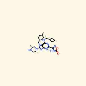 CC1CCC(Cn2c(N3C[C@H](C)NC[C@H]3C)nc3nc(-c4noc(=O)[nH]4)nc(N[C@H](C)C4CCC4)c32)CC1